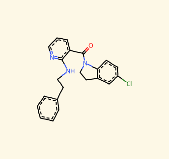 O=C(c1cccnc1NCCc1ccccc1)N1CCc2cc(Cl)ccc21